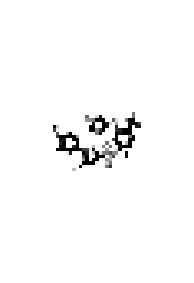 COc1ccc(-c2sc(S(=O)(=O)Nc3ccc(C(F)(F)F)c(O[C@@H]4CCN(C)C4)c3)cc2Cl)cc1F